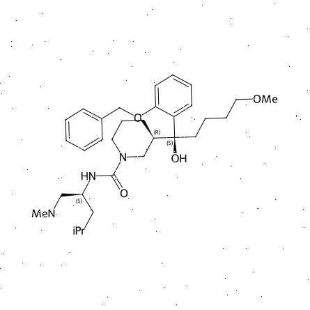 CNC[C@H](CC(C)C)NC(=O)N1CCC[C@@H]([C@@](O)(CCCCOC)c2ccccc2OCc2ccccc2)C1